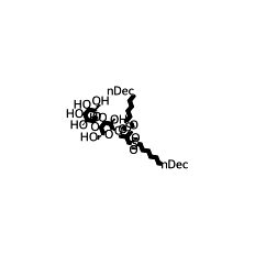 CCCCCCCCCCCCCCCCS(=O)(=O)CC(CO[C@H]1O[C@H](CO)[C@H](O[C@@H]2O[C@H](CO)[C@H](O)[C@H](O)[C@H]2O)[C@H](O)[C@H]1O)CS(=O)(=O)CCCCCCCCCCCCCCCC